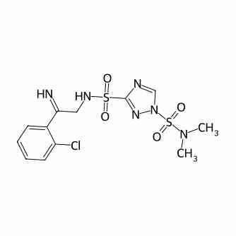 CN(C)S(=O)(=O)n1cnc(S(=O)(=O)NCC(=N)c2ccccc2Cl)n1